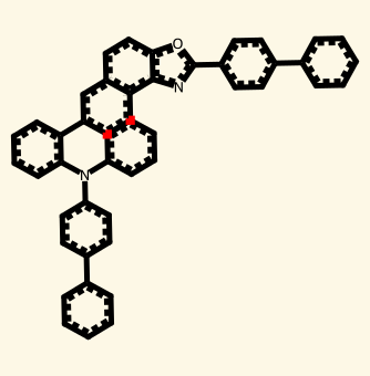 c1ccc(-c2ccc(-c3nc4c(ccc5cc(-c6ccccc6N(c6ccccc6)c6ccc(-c7ccccc7)cc6)ccc54)o3)cc2)cc1